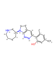 Cc1cc(C(F)(F)F)cc(O)c1-c1cc2c(nn1)N([C@H]1CCCCNC1)CC2